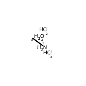 CN.Cl.Cl.O